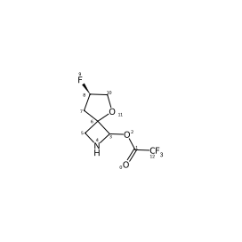 O=C(OC1NCC12C[C@@H](F)CO2)C(F)(F)F